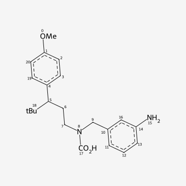 COc1ccc(C(CCN(Cc2cccc(N)c2)C(=O)O)C(C)(C)C)cc1